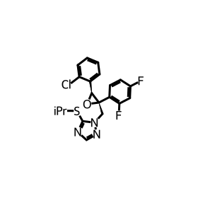 CC(C)Sc1ncnn1C[C@@]1(c2ccc(F)cc2F)O[C@H]1c1ccccc1Cl